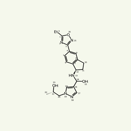 CCc1nc(-c2ccc3c(c2)CC[C@H]3NC(O)c2cnn(C[C@H](C)O)c2)no1